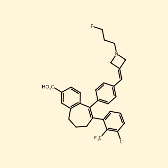 O=C(O)c1ccc2c(c1)CCCC(c1cccc(Cl)c1C(F)(F)F)=C2c1ccc(C=C2CN(CCCF)C2)cc1